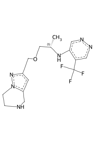 C[C@@H](COCc1cc2n(n1)CCNC2)Nc1cnncc1C(F)(F)F